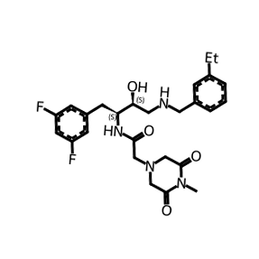 CCc1cccc(CNC[C@H](O)[C@H](Cc2cc(F)cc(F)c2)NC(=O)CN2CC(=O)N(C)C(=O)C2)c1